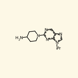 CC(C)n1cnc2cnc(N3CCC(N)CC3)nc21